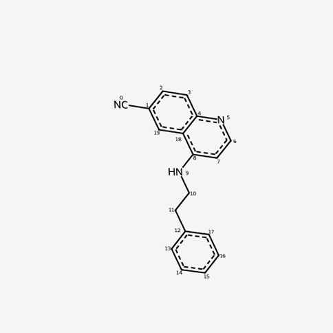 N#Cc1ccc2nccc(NCCc3ccccc3)c2c1